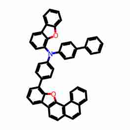 c1ccc(-c2ccc(N(c3ccc(-c4cccc5c4oc4c5ccc5ccc6ccccc6c54)cc3)c3cccc4c3oc3ccccc34)cc2)cc1